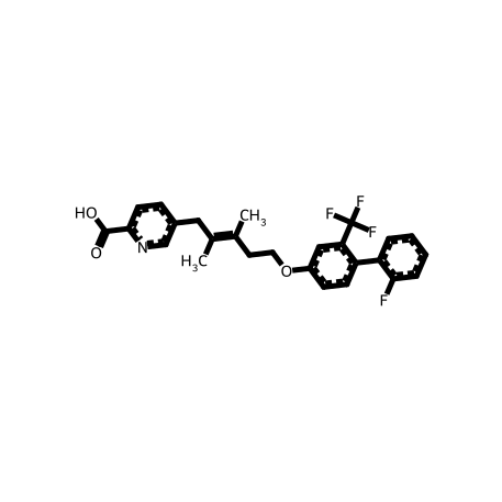 C/C(CCOc1ccc(-c2ccccc2F)c(C(F)(F)F)c1)=C(/C)Cc1ccc(C(=O)O)nc1